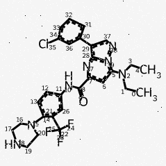 CCN(CC)c1cc(C(=O)Nc2ccc(N3CCNCC3)c(C(F)(F)F)c2)nc2c(-c3cccc(Cl)c3)cnn12